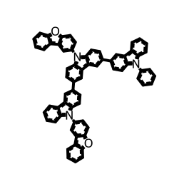 c1ccc(-n2c3ccccc3c3cc(-c4ccc5c(c4)c4cc(-c6ccc7c(c6)c6ccccc6n7-c6ccc7oc8ccccc8c7c6)ccc4n5-c4ccc5oc6ccccc6c5c4)ccc32)cc1